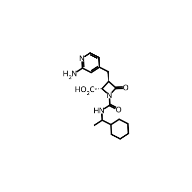 CC(NC(=O)N1C(=O)[C@H](Cc2ccnc(N)c2)[C@H]1C(=O)O)C1CCCCC1